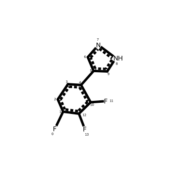 Fc1ccc(-c2cn[nH]c2)c(F)c1F